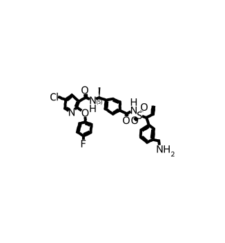 C=CC(c1cccc(CN)c1)S(=O)(=O)NC(=O)c1ccc([C@H](C)NC(=O)c2cc(Cl)cnc2Oc2ccc(F)cc2)cc1